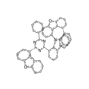 c1ccc(-c2nc(-c3cccc4oc5ccccc5c34)nc(-c3cccc4c5ccccc5n(-c5cccc6oc7cccc(-c8ccccc8)c7c56)c34)n2)cc1